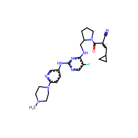 CN1CCN(c2ccc(Nc3ncc(F)c(NCC4CCCN4C(=O)/C(C#N)=C\C4CC4)n3)cn2)CC1